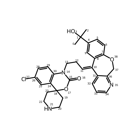 CC(C)(O)c1ccc2c(c1)/C(=C\CCN1C(=O)OC3(CCNCC3)c3cc(Cl)ccc31)c1cccnc1CO2